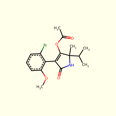 COc1cccc(Br)c1C1=C(OC(C)=O)C(C)(C(C)C)NC1=O